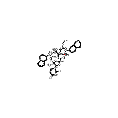 CC(C)OC(=O)[C@H](C)NP(=O)(OC[C@@]1(F)O[C@@H](n2ccc(=O)[nH]c2=O)[C@](C)(F)[C@@H]1OP(=O)(N[C@@H](C)C(=O)OC(C)C)Oc1ccc2ccccc2c1)Oc1ccc2ccccc2c1